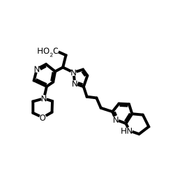 O=C(O)CC(c1cncc(N2CCOCC2)c1)n1ccc(CCCc2ccc3c(n2)NCCC3)n1